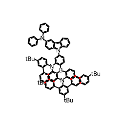 CC(C)(C)c1cccc(-c2ccc3c(c2)N(c2c(-c4ccccc4)cc(C(C)(C)C)cc2-c2ccccc2)c2cc(C(C)(C)C)cc4c2B3c2ccc(-n3c5ccccc5c5cc(N(c6ccccc6)c6ccccc6)ccc53)cc2N4c2ccc(C(C)(C)C)cc2-c2ccccc2)c1